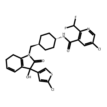 O=C(N[C@H]1CC[C@H](CN2C(=O)C(O)(c3csc(Cl)c3)C3=C2CCC=C3)CC1)c1cc(Cl)cnc1C(F)F